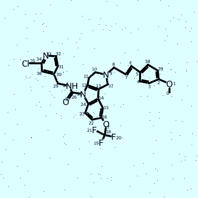 COc1ccc(/C=C/CN2CCc3c(c4cc(OC(F)(F)F)ccc4n3C(=O)NCc3ccnc(Cl)c3)C2)cc1